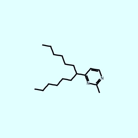 CCCCCCC(CCCCCC)c1ccnc(C)n1